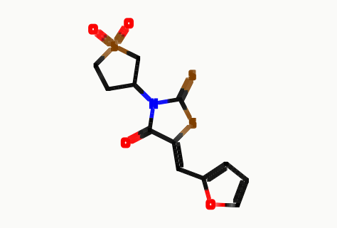 O=C1C(=Cc2ccco2)SC(=S)N1C1CCS(=O)(=O)C1